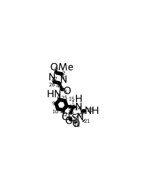 COc1cnc(C(=O)Nc2ccc(Cl)c([C@]3(C)CS(=O)(=O)N(C)C(=N)N3)c2)cn1